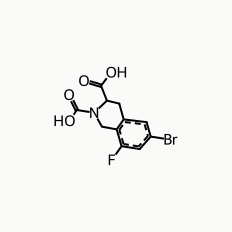 O=C(O)C1Cc2cc(Br)cc(F)c2CN1C(=O)O